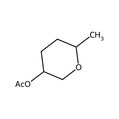 CC(=O)OC1CCC(C)OC1